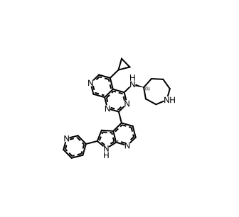 c1cncc(-c2cc3c(-c4nc(N[C@H]5CCCNCC5)c5c(C6CC6)cncc5n4)ccnc3[nH]2)c1